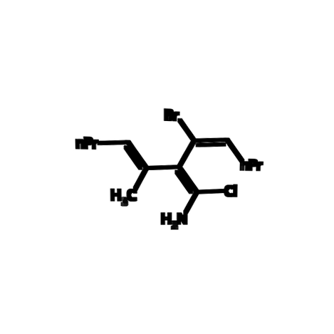 CCC/C=C(C)/C(=C(\N)Cl)C(/Br)=C\CCC